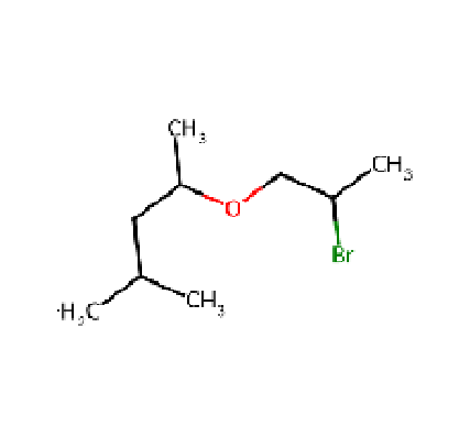 [CH2]C(C)CC(C)OCC(C)Br